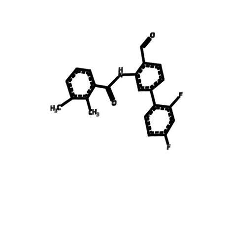 Cc1cccc(C(=O)Nc2cc(-c3ccc(F)cc3F)ccc2C=O)c1C